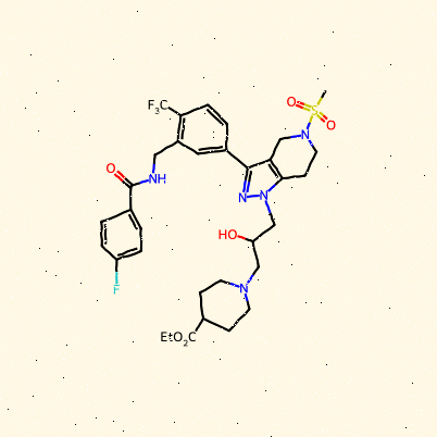 CCOC(=O)C1CCN(CC(O)Cn2nc(-c3ccc(C(F)(F)F)c(CNC(=O)c4ccc(F)cc4)c3)c3c2CCN(S(C)(=O)=O)C3)CC1